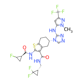 Cn1nc(C(F)(F)F)cc1Nc1nncn1[C@H]1CCc2sc(NC(=O)[C@H]3C[C@H]3F)c(C(=O)NC[C@@H]3CC3(F)F)c2C1